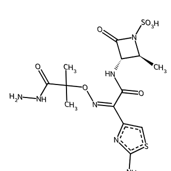 C[C@H]1[C@H](NC(=O)/C(=N\OC(C)(C)C(=O)NN)c2csc(N)n2)C(=O)N1S(=O)(=O)O